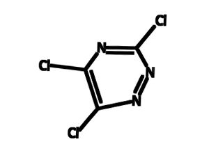 Clc1nnc(Cl)c(Cl)n1